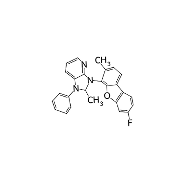 Cc1ccc2c(oc3cc(F)ccc32)c1N1c2ncccc2N(c2ccccc2)C1C